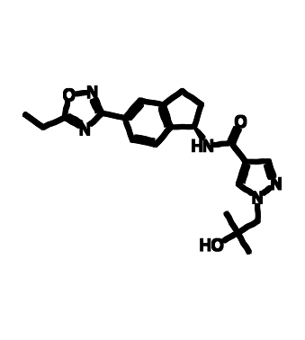 CCc1nc(-c2ccc3c(c2)CC[C@H]3NC(=O)c2cnn(CC(C)(C)O)c2)no1